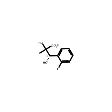 CC(O)(C(=O)O)[C@@H](O)c1ccccc1F